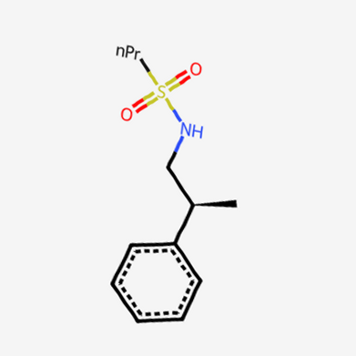 CCCS(=O)(=O)NC[C@@H](C)c1ccccc1